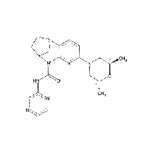 C[C@@H]1CN(c2ccc3c(n2)N(C(=O)Nc2cnccn2)C2CCN3C2)C[C@@H](C)O1